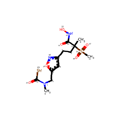 CN(Cc1cc(CCC(C)(C(=O)NO)S(C)(=O)=O)no1)C(=O)S